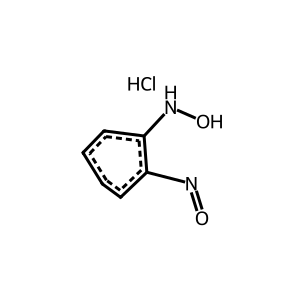 Cl.O=Nc1ccccc1NO